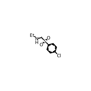 CCN[CH]S(=O)(=O)c1ccc(Cl)cc1